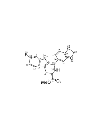 COC(=O)C1Cc2c([nH]c3cc(F)ccc23)C(c2ccc3c(c2)OCO3)N1